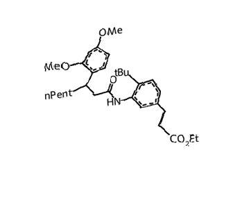 CCCCCC(CC(=O)Nc1cc(CCC(=O)OCC)ccc1C(C)(C)C)c1ccc(OC)cc1OC